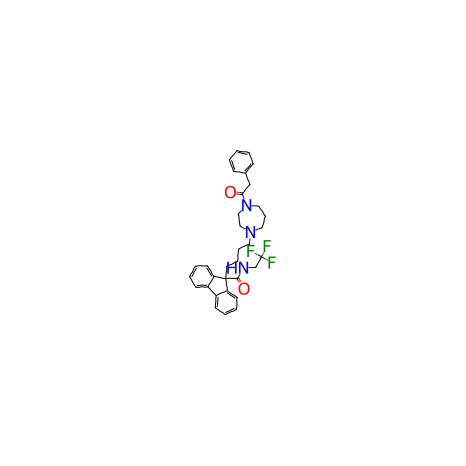 O=C(Cc1ccccc1)N1CCCN(CCCCC2(C(=O)NCC(F)(F)F)c3ccccc3-c3ccccc32)CC1